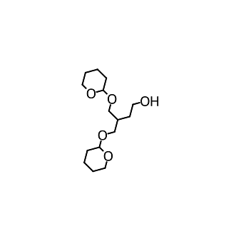 OCCC(COC1CCCCO1)COC1CCCCO1